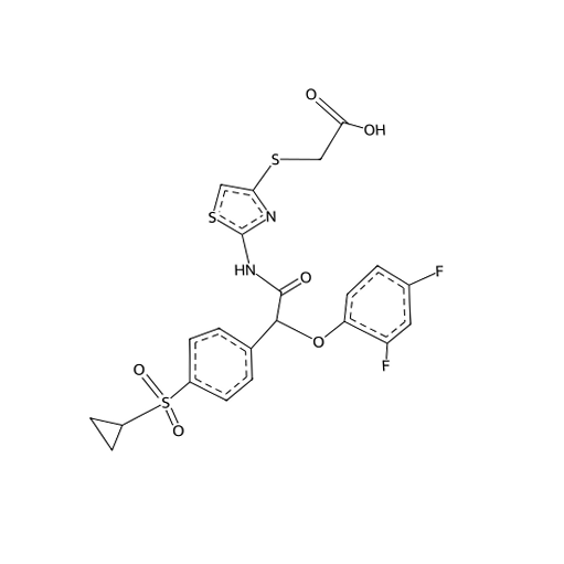 O=C(O)CSc1csc(NC(=O)C(Oc2ccc(F)cc2F)c2ccc(S(=O)(=O)C3CC3)cc2)n1